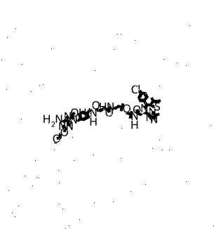 COCCOc1nc(N)c2nc(O)n(Cc3ccc(CNC(=O)CCC(=O)NCCC(C)(C)OCC(C)(C)NC(=O)C[C@@H]4N=C(c5ccc(Cl)cc5)c5c(sc(C)c5C)-n5c(C)nnc54)cc3)c2n1